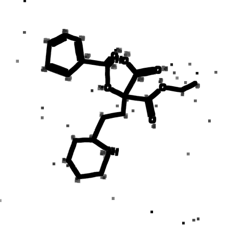 CCOC(=O)C(CCC1CCCCN1)(OC(=O)c1ccccc1)C(=O)O